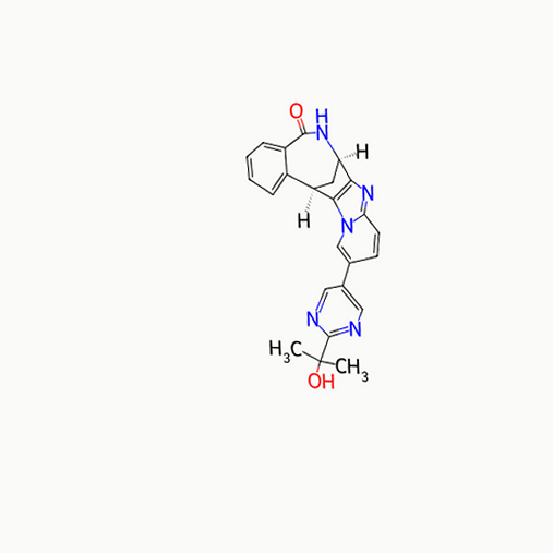 CC(C)(O)c1ncc(-c2ccc3nc4c(n3c2)[C@@H]2C[C@H]4NC(=O)c3ccccc32)cn1